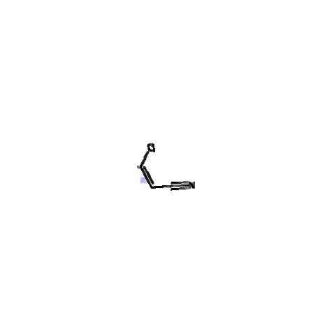 N#C/C=[C]\Cl